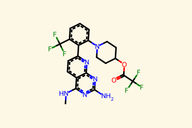 CNc1nc(N)nc2nc(-c3c(N4CCC(OC(=O)C(F)(F)F)CC4)cccc3C(F)(F)F)ccc12